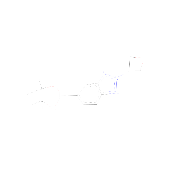 CC1(C)OB(c2ccc3nn(C4COC4)nc3c2)OC1(C)C